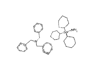 [NH2][Sn]([CH]1CCCCC1)([CH]1CCCCC1)[CH]1CCCCC1.c1ccc(CN(Cc2ccccc2)Cc2ccccc2)cc1